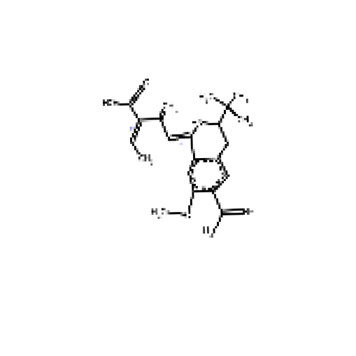 C=C(/C=C1\NC(C(C)(C)C)Cc2cc(C(C)=N)c(OC)cc21)/C(=C\C)C(=O)O